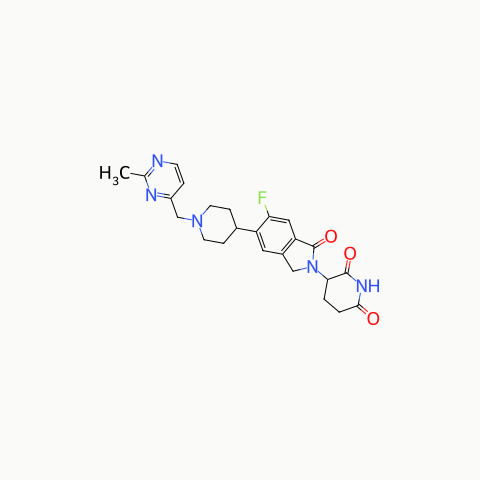 Cc1nccc(CN2CCC(c3cc4c(cc3F)C(=O)N(C3CCC(=O)NC3=O)C4)CC2)n1